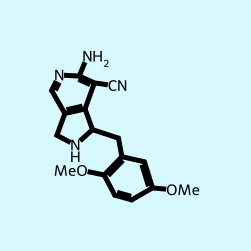 COc1ccc(OC)c(CC2NCc3cnc(N)c(C#N)c32)c1